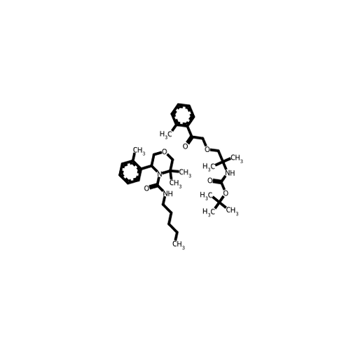 CCCCCNC(=O)N1C(c2ccccc2C)COCC1(C)C.Cc1ccccc1C(=O)COCC(C)(C)NC(=O)OC(C)(C)C